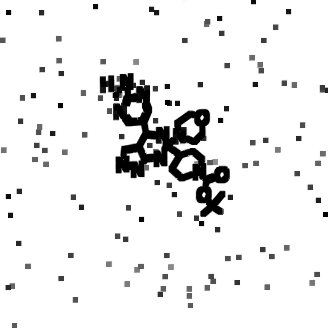 CC(C)(C)OC(=O)N1CCC(C2(N3CCOCC3)N=C3N=NC=C3C(c3cnc(N)nc3)=N2)CC1